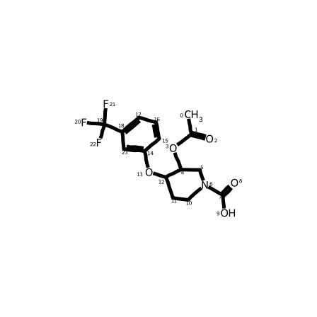 CC(=O)OC1CN(C(=O)O)CCC1Oc1cccc(C(F)(F)F)c1